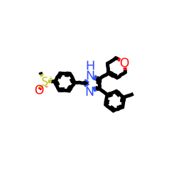 Cc1cccc(-c2nc(-c3ccc([S+](C)[O-])cc3)[nH]c2C2=CCOCC2)c1